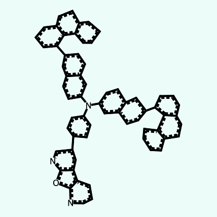 c1ccc2c(c1)ccc1cccc(-c3ccc4cc(N(c5ccc(-c6cnc7oc8ncccc8c7c6)cc5)c5ccc6cc(-c7cccc8ccc9ccccc9c78)ccc6c5)ccc4c3)c12